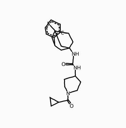 O=C(NC1CCN(C(=O)C2CC2)CC1)NC12CC3CC(F)(CC(C1)c1ccccc13)C2